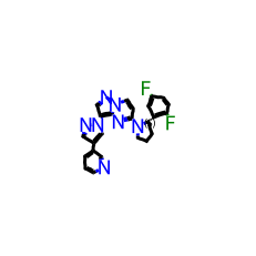 Fc1ccc(F)c([C@@H]2CCCN2c2ccn3ncc(-n4cc(-c5cccnc5)cn4)c3n2)c1